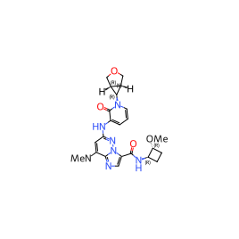 CNc1cc(Nc2cccn([C@H]3[C@@H]4COC[C@@H]43)c2=O)nn2c(C(=O)N[C@@H]3CC[C@H]3OC)cnc12